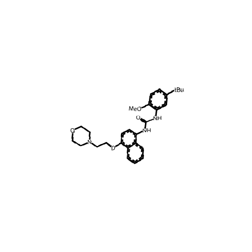 COc1ccc(C(C)(C)C)cc1NC(=O)Nc1ccc(OCCN2CCOCC2)c2ccccc12